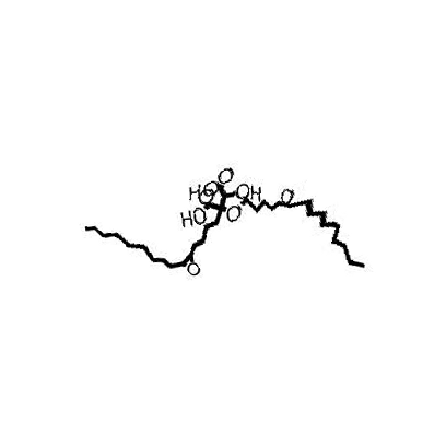 CCCCCCCCCC1OC1CCCCOC(CCCCC1OC1CCCCCCCCC)(C(=O)O)C(O)C(=O)O